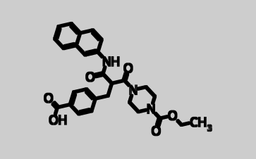 CCOC(=O)N1CCN(C(=O)C(Cc2ccc(C(=O)O)cc2)C(=O)Nc2ccc3ccccc3c2)CC1